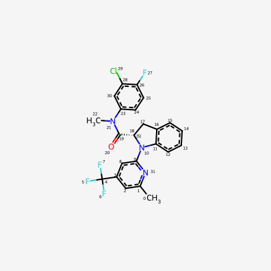 Cc1cc(C(F)(F)F)cc(N2c3ccccc3C[C@H]2C(=O)N(C)c2ccc(F)c(Cl)c2)n1